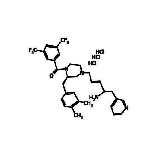 Cc1ccc(C[C@@H]2CN(C/C=C/C(N)Cc3cccnc3)CCN2C(=O)c2cc(C(F)(F)F)cc(C(F)(F)F)c2)cc1C.Cl.Cl.Cl